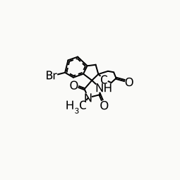 CN1C(=O)NC2(C1=O)c1cc(Br)ccc1CC21CCC(=O)CC1